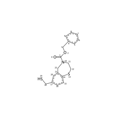 O=C(OCc1ccccc1)N1CCSc2ccc(CS)cc2C1